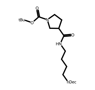 CCCCCCCCCCCCCCNC(=O)C1CCN(C(=O)OC(C)(C)C)C1